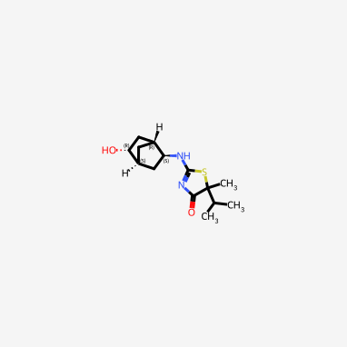 CC(C)C1(C)SC(N[C@H]2C[C@@H]3C[C@@H]2C[C@H]3O)=NC1=O